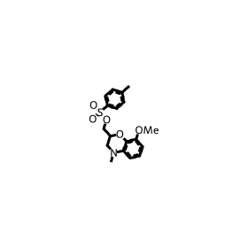 COc1cccc2c1OC(COS(=O)(=O)c1ccc(C)cc1)CN2C